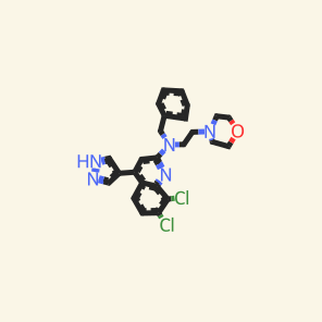 Clc1ccc2c(-c3cn[nH]c3)cc(N(CCN3CCOCC3)Cc3ccccc3)nc2c1Cl